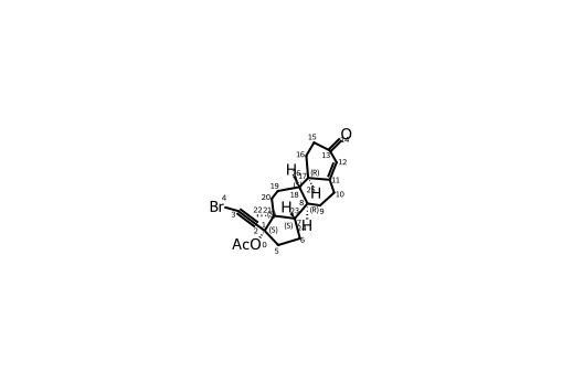 CC(=O)O[C@@]1(C#CBr)CC[C@H]2[C@@H]3CCC4=CC(=O)CC[C@@H]4[C@H]3CC[C@@]21C